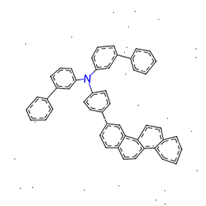 c1ccc(-c2cccc(N(c3ccc(-c4ccc5ccc6c7ccccc7ccc6c5c4)cc3)c3cccc(-c4ccccc4)c3)c2)cc1